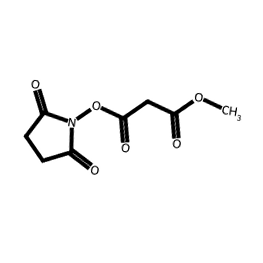 COC(=O)CC(=O)ON1C(=O)CCC1=O